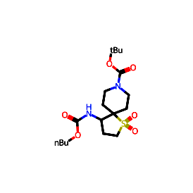 CCCCOC(=O)NC1CCS(=O)(=O)C12CCN(C(=O)OC(C)(C)C)CC2